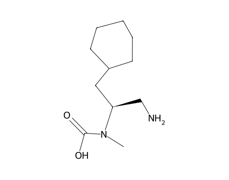 CN(C(=O)O)[C@H](CN)CC1CCCCC1